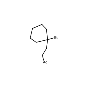 CCC1(CCC(C)=O)CCCCC1